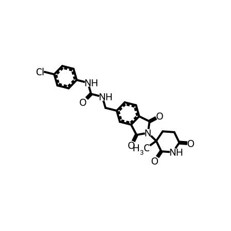 CC1(N2C(=O)c3ccc(CNC(=O)Nc4ccc(Cl)cc4)cc3C2=O)CCC(=O)NC1=O